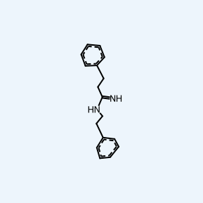 N=C(CCc1ccccc1)NCCc1ccccc1